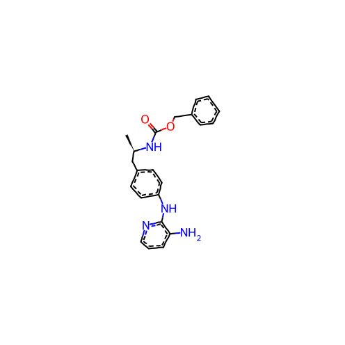 C[C@H](Cc1ccc(Nc2ncccc2N)cc1)NC(=O)OCc1ccccc1